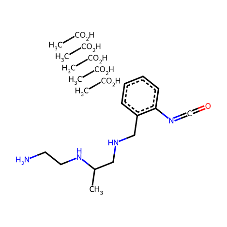 CC(=O)O.CC(=O)O.CC(=O)O.CC(=O)O.CC(=O)O.CC(CNCc1ccccc1N=C=O)NCCN